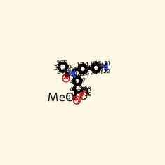 COC(=O)/C(=C/c1cccc(N(Cc2ccc(-c3ccc(N(C)C)cc3)cc2)C(=O)C2CCCCC2)c1)C1CCCO1